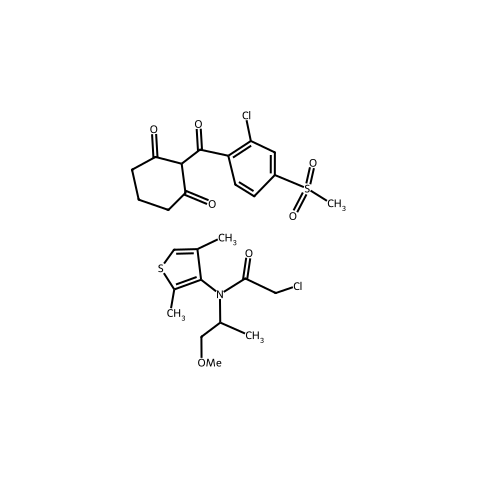 COCC(C)N(C(=O)CCl)c1c(C)csc1C.CS(=O)(=O)c1ccc(C(=O)C2C(=O)CCCC2=O)c(Cl)c1